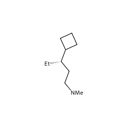 CC[C@@H](CCNC)C1CCC1